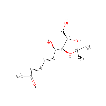 COC(=O)C=CC=C[C@@H](O)[C@@H]1OC(C)(C)O[C@@H]1CO